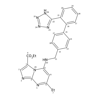 CCOC(=O)c1cnc2nc(CC)cc(NCc3ccc(-c4ccccc4-c4nnn[nH]4)cc3)n12